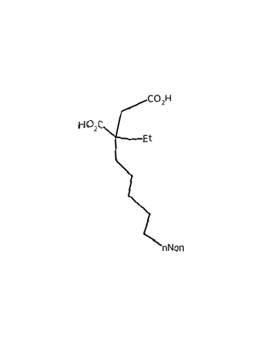 CCCCCCCCCCCCCCC(CC)(CC(=O)O)C(=O)O